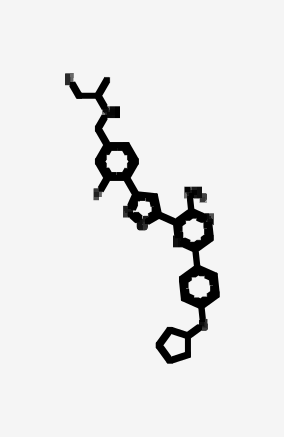 CC(CF)NCc1ccc(-c2cc(-c3nc(-c4ccc(SC5CCCC5)cc4)cnc3N)on2)c(F)c1